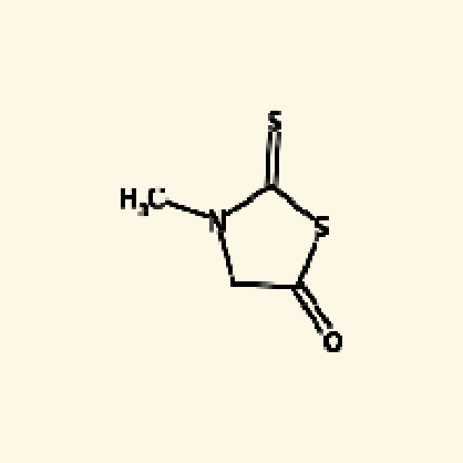 CN1CC(=O)SC1=S